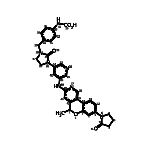 CC1Oc2cc(N3CCCC3=O)ccc2-c2cnc(Nc3cncc(N4CCN(Cc5ccc(NC(=O)O)cc5)C4=O)c3)cc21